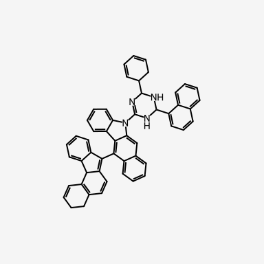 C1=CCC(C2N=C(n3c4ccccc4c4c(C5=C6C=CC7=C(C=CCC7)C6c6ccccc65)c5ccccc5cc43)NC(c3cccc4ccccc34)N2)C=C1